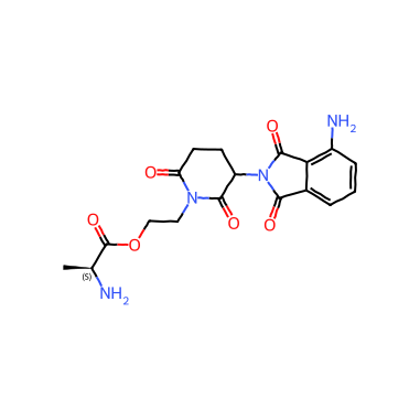 C[C@H](N)C(=O)OCCN1C(=O)CCC(N2C(=O)c3cccc(N)c3C2=O)C1=O